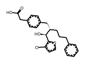 O=C(O)Cc1ccc(C[C@H](CCCc2ccccc2)[C@H](O)c2sccc2Cl)cc1